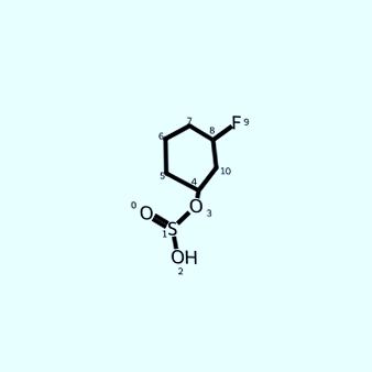 O=S(O)OC1CCCC(F)C1